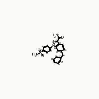 NC(=O)c1nn(-c2ccc(S(N)(=O)=O)cc2)c2cc(Cc3ccccc3)ccc12